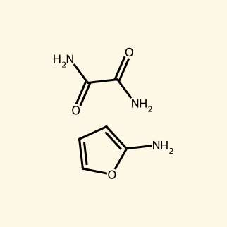 NC(=O)C(N)=O.Nc1ccco1